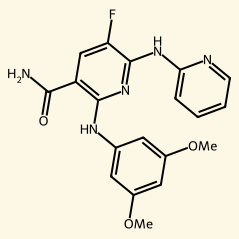 COc1cc(Nc2nc(Nc3ccccn3)c(F)cc2C(N)=O)cc(OC)c1